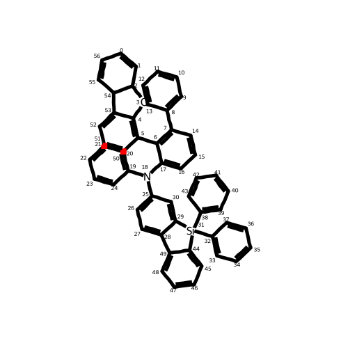 C1=CC2Oc3c(-c4c(-c5ccccc5)cccc4N(c4ccccc4)c4ccc5c(c4)[Si](c4ccccc4)(c4ccccc4)c4ccccc4-5)cccc3C2C=C1